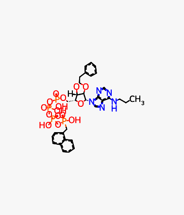 CCCNc1ncnc2c1ncn2[C@@H]1O[C@H](COP(=O)(O)OP(=O)(O)OP(=O)(O)OP(=O)(O)Cc2cccc3ccccc23)[C@@H]2OC(Cc3ccccc3)OC21